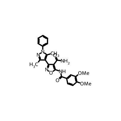 COc1ccc(C(=O)Nc2onc(-c3c(C)nn(-c4ccccc4)c3C)c2C(N)=O)cc1OC